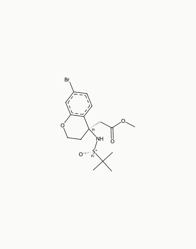 COC(=O)C[C@]1(N[S@@+]([O-])C(C)(C)C)CCOc2cc(Br)ccc21